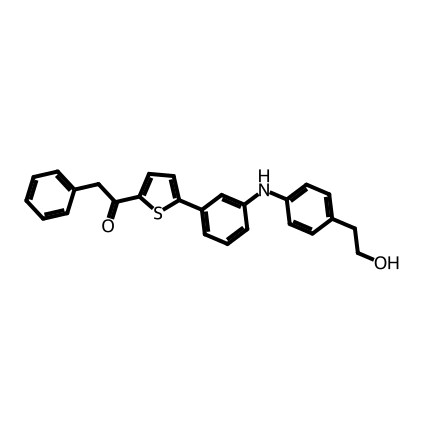 O=C(Cc1ccccc1)c1ccc(-c2cccc(Nc3ccc(CCO)cc3)c2)s1